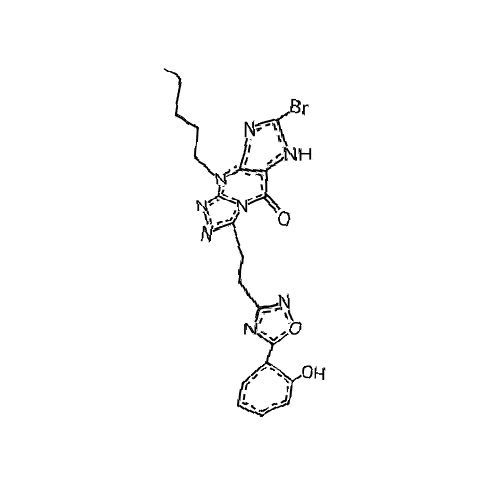 CCCCCn1c2nc(Br)[nH]c2c(=O)n2c(CCc3noc(-c4ccccc4O)n3)nnc12